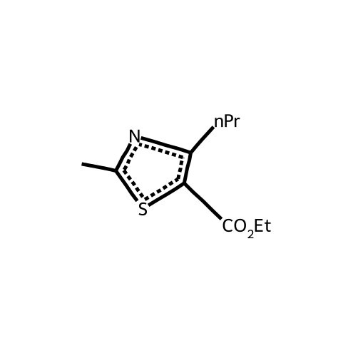 CCCc1nc(C)sc1C(=O)OCC